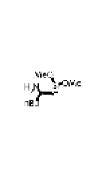 CCCCC(N)C[SiH](OC)OC